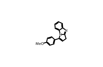 COc1ccc(C2=CCc3nc4ccccc4n32)cc1